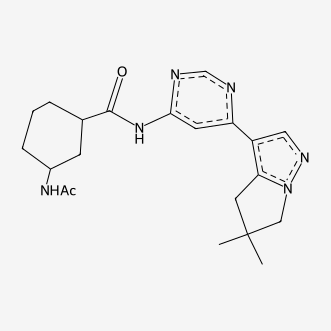 CC(=O)NC1CCCC(C(=O)Nc2cc(-c3cnn4c3CC(C)(C)C4)ncn2)C1